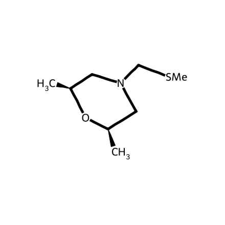 CSCN1C[C@@H](C)O[C@@H](C)C1